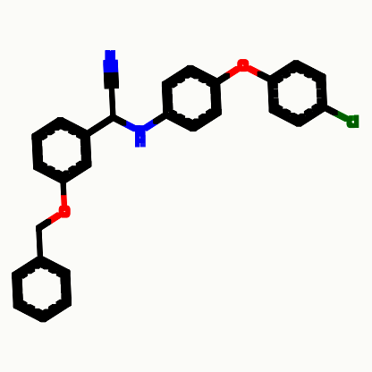 N#CC(Nc1ccc(Oc2ccc(Cl)cc2)cc1)c1cccc(OCc2ccccc2)c1